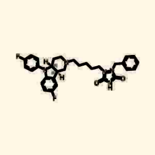 O=c1[nH]c(=O)n(Cc2ccccc2)n1CCCCCN1CC[C@@H]2[C@@H](C1)c1cc(F)ccc1N2c1ccc(F)cc1